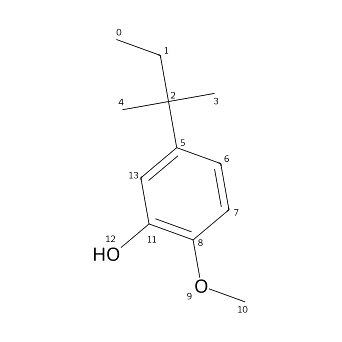 CCC(C)(C)c1ccc(OC)c(O)c1